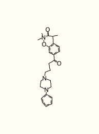 CC1C(=O)[N+](C)(C)Oc2cc(C(=O)CCCN3CCN(c4ccccc4)CC3)ccc21